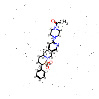 CC(=O)N1CCN(c2ccc(CN3[C@H](C)CCC(c4ccccc4)S3(=O)=O)cn2)CC1